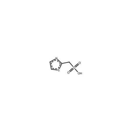 O=S(=O)(O)[CH]c1nccs1